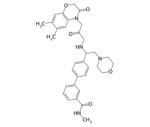 CNC(=O)c1cccc(-c2ccc(C(CN3CCOCC3)NCC(=O)CN3C(=O)COc4cc(C)c(C)cc43)cc2)c1